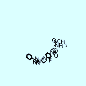 CC(=O)NC[C@H]1CN(c2ccc(N3CC[C@H](n4nnc(-c5ccccc5)n4)C3)c(F)c2)C(=O)O1